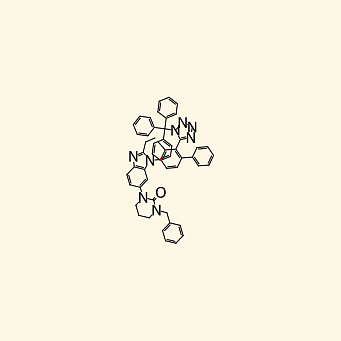 CCc1nc2ccc(N3CCCN(Cc4ccccc4)C3=O)cc2n1-c1ccc(-c2ccccc2)c(-c2nnnn2C(c2ccccc2)(c2ccccc2)c2ccccc2)c1C